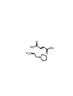 C=CCN1CCCC1.O=C(O)C=CC(=O)O